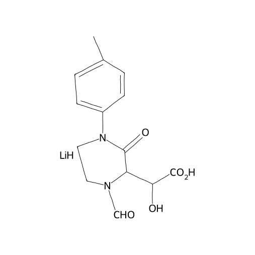 Cc1ccc(N2CCN(C=O)C(C(O)C(=O)O)C2=O)cc1.[LiH]